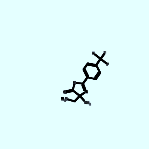 CCC1(C)N=C(c2ccc(C(F)(F)F)cc2)OC1=O